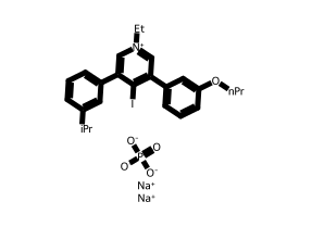 CCCOc1cccc(-c2c[n+](CC)cc(-c3cccc(C(C)C)c3)c2I)c1.O=P([O-])([O-])[O-].[Na+].[Na+]